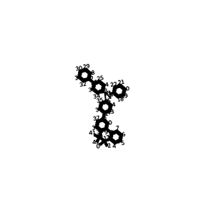 CC1(C)c2ccccc2-c2cc(-c3ccc(N(c4ccccc4)c4ccc(-c5ccccc5)cc4)cc3)ccc2C1(C)C